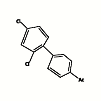 CC(=O)c1ccc(-c2ccc(Cl)cc2Cl)cc1